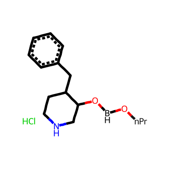 CCCOBOC1CNCCC1Cc1ccccc1.Cl